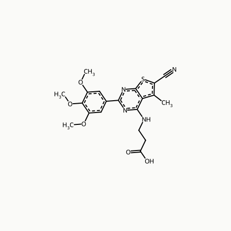 COc1cc(-c2nc(NCCC(=O)O)c3c(C)c(C#N)sc3n2)cc(OC)c1OC